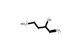 C=CC(O)CCC(=O)O